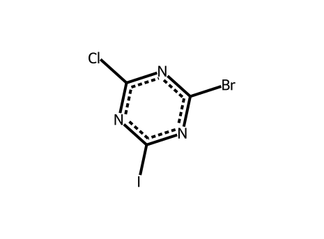 Clc1nc(Br)nc(I)n1